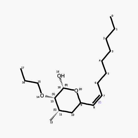 CCCCCCC/C=C\C1C[C@H](C)[C@H](OCCC)[C@H](O)O1